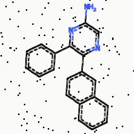 Nc1cnc(-c2ccc3ccccc3c2)c(-c2ccccc2)n1